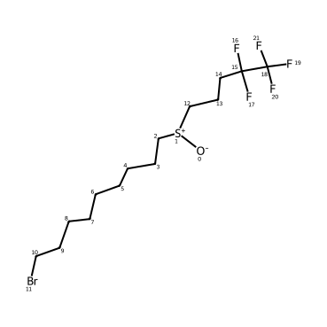 [O-][S+](CCCCCCCCCBr)CCCC(F)(F)C(F)(F)F